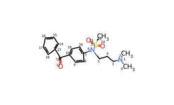 CN(C)CCCN(c1ccc(C(=O)c2ccccc2)cc1)S(C)(=O)=O